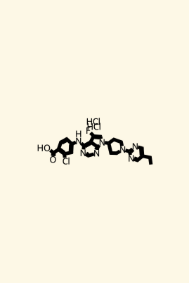 CCc1cnc(N2CCC(n3cc(F)c4c(Nc5ccc(C(=O)O)c(Cl)c5)ncnc43)CC2)nc1.Cl.Cl